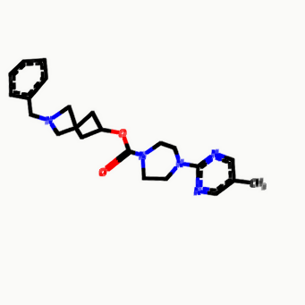 Cc1cnc(N2CCN(C(=O)OC3CC4(C3)CN(Cc3ccccc3)C4)CC2)nc1